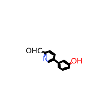 O=Cc1ccc(-c2cccc(O)c2)cn1